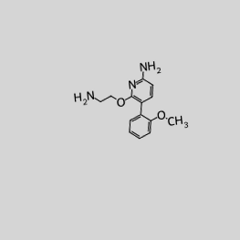 COc1ccccc1-c1ccc(N)nc1OCCN